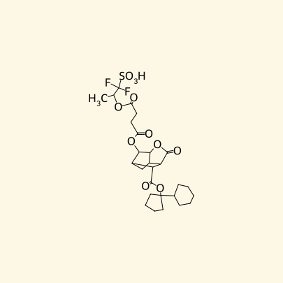 CC(OC(=O)CCC(=O)OC1C2CC3C1OC(=O)C3C2C(=O)OC1(C2CCCCC2)CCCC1)C(F)(F)S(=O)(=O)O